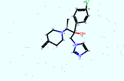 C=C1CCN([C@@H](C)[C@@](O)(Cn2ccnc2)c2ccc(Cl)cc2)CC1